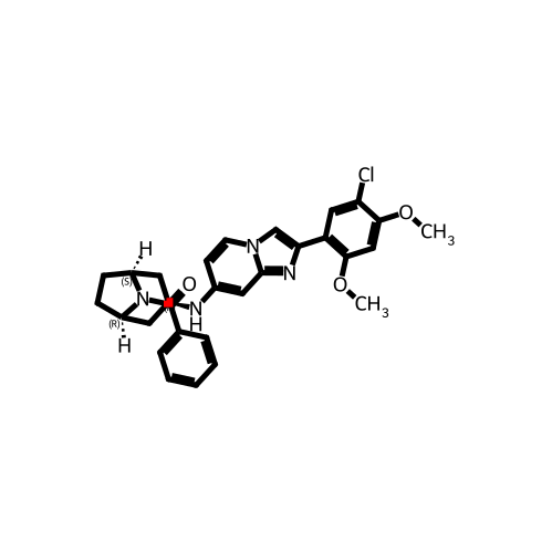 COc1cc(OC)c(-c2cn3ccc(N[C@H]4C[C@H]5CC[C@@H](C4)N5C(=O)c4ccccc4)cc3n2)cc1Cl